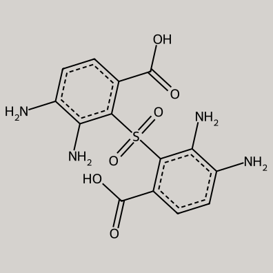 Nc1ccc(C(=O)O)c(S(=O)(=O)c2c(C(=O)O)ccc(N)c2N)c1N